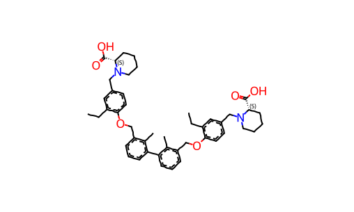 CCc1cc(CN2CCCC[C@H]2C(=O)O)ccc1OCc1cccc(-c2cccc(COc3ccc(CN4CCCC[C@H]4C(=O)O)cc3CC)c2C)c1C